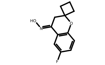 ON=C1CC2(CCC2)Oc2ccc(F)cc21